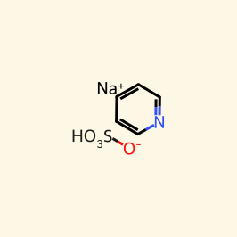 O=S(=O)([O-])O.[Na+].c1ccncc1